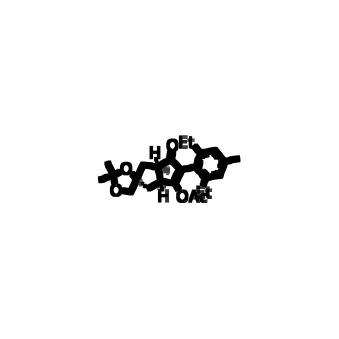 CCc1cc(C)cc(CC)c1C1=C(OC(C)=O)[C@H]2C[C@@]3(COC(C)(C)O3)C[C@H]2C1=O